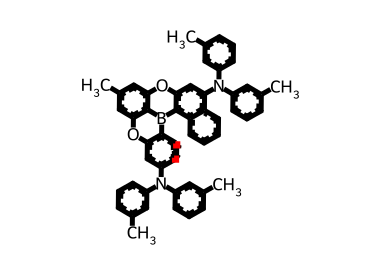 Cc1cccc(N(c2cccc(C)c2)c2cc3c(c4ccccc24)B2c4c(cc(C)cc4Oc4cc(N(c5cccc(C)c5)c5cccc(C)c5)c5ccccc5c42)O3)c1